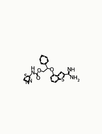 N=C(N)c1cc2c(OC(COC(=O)Nc3nncs3)c3ccccc3)cccc2s1